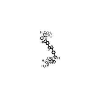 COC(=O)N[C@H](C(=O)N1CCC[C@H]1c1nc(-c2ccc(-c3csc4c(-c5ccc6nc([C@@H]7CCCN7C(=O)OC(C)(C)C)[nH]c6c5)csc34)cc2)c[nH]1)C(C)C